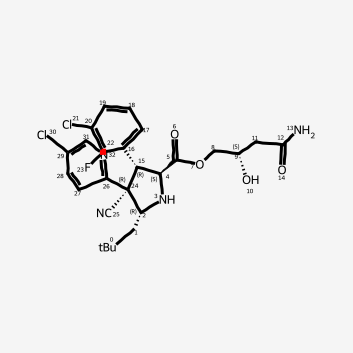 CC(C)(C)C[C@H]1N[C@H](C(=O)OC[C@@H](O)CC(N)=O)[C@@H](c2cccc(Cl)c2F)[C@]1(C#N)c1ccc(Cl)cn1